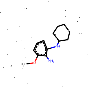 COc1cccc(NC2CCCCC2)c1N